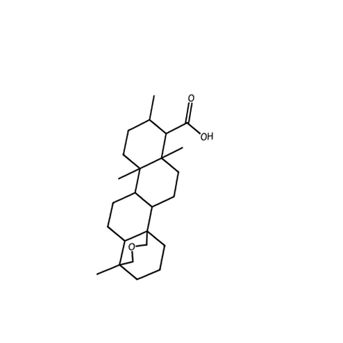 CC1CCC2(C)C3CCC4C5(C)CCCC4(COC5)C3CCC2(C)C1C(=O)O